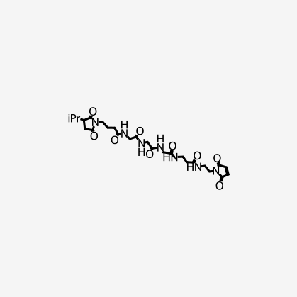 CC(C)C1CC(=O)N(CCCC(=O)NCC(=O)NCC(=O)NCC(=O)NCCC(=O)NCCN2C(=O)C=CC2=O)C1=O